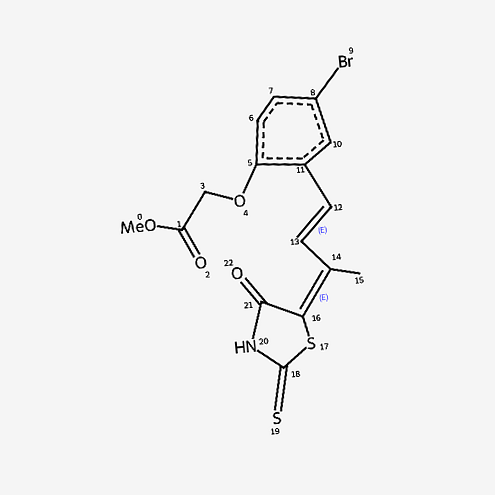 COC(=O)COc1ccc(Br)cc1/C=C/C(C)=C1/SC(=S)NC1=O